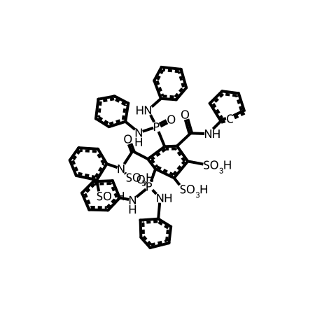 O=C(Nc1ccccc1)c1c(P(=O)(Nc2ccccc2)Nc2ccccc2)c(C(=O)N(c2ccccc2S(=O)(=O)O)S(=O)(=O)O)c(P(=O)(Nc2ccccc2)Nc2ccccc2)c(S(=O)(=O)O)c1S(=O)(=O)O